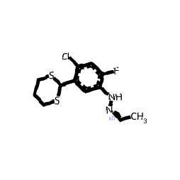 C/C=N\Nc1cc(C2SCCCS2)c(Cl)cc1F